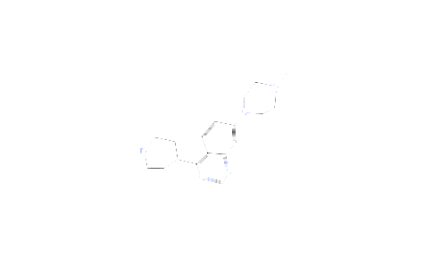 CN1CCN(c2ccc3c(C4CCNCC4)ncnc3c2)CC1